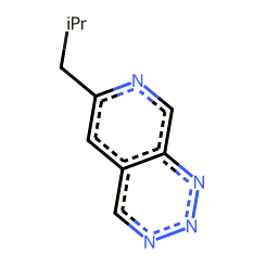 CC(C)Cc1cc2cnnnc2cn1